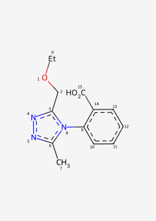 CCOCc1nnc(C)n1-c1ccccc1C(=O)O